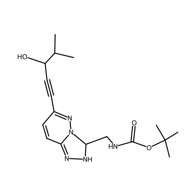 CC(C)C(O)C#CC1=NN2C(=NNC2CNC(=O)OC(C)(C)C)C=C1